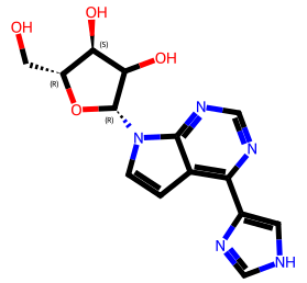 OC[C@H]1O[C@@H](n2ccc3c(-c4c[nH]cn4)ncnc32)C(O)[C@@H]1O